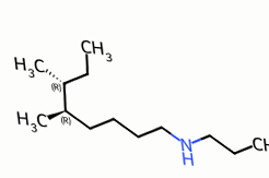 CCCNCCCC[C@@H](C)[C@H](C)CC